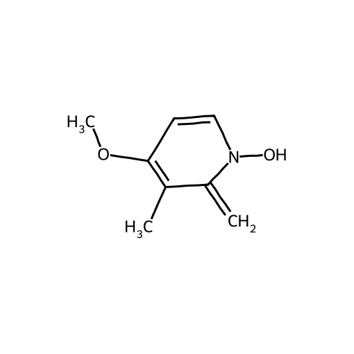 C=C1C(C)=C(OC)C=CN1O